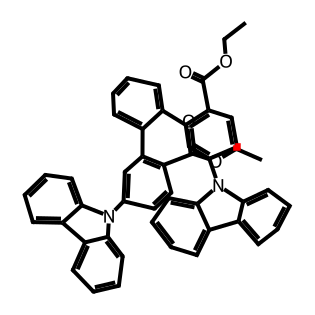 CCOC(=O)c1ccc(-n2c3ccccc3c3ccccc32)cc1-c1ccccc1-c1cc(-n2c3ccccc3c3ccccc32)ccc1C(=O)OCC